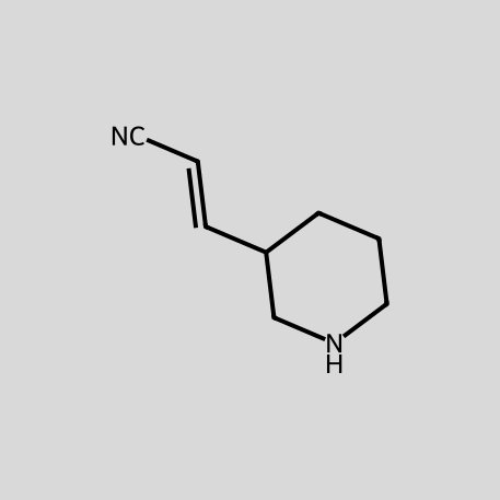 N#CC=CC1CCCNC1